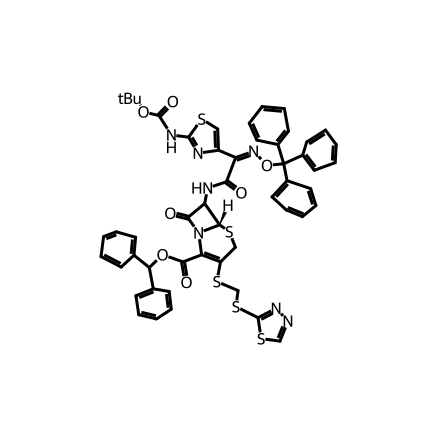 CC(C)(C)OC(=O)Nc1nc(/C(=N/OC(c2ccccc2)(c2ccccc2)c2ccccc2)C(=O)NC2C(=O)N3C(C(=O)OC(c4ccccc4)c4ccccc4)=C(SCSc4nncs4)CS[C@@H]23)cs1